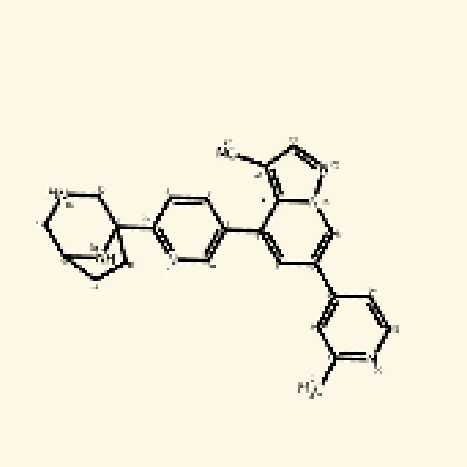 Cc1cc(-c2cc(-c3ccc(C45CCC(CNC4)N5)nc3)c3c(C#N)cnn3c2)ccn1